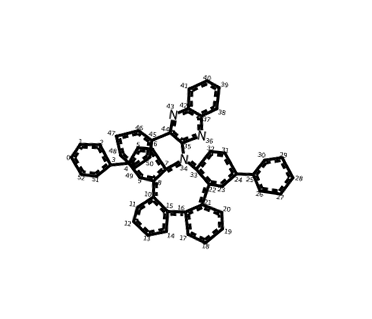 c1ccc(-c2ccc3c(c2)c2ccccc2c2ccccc2c2cc(-c4ccccc4)ccc2n3-c2nc3ccccc3nc2-c2ccccc2)cc1